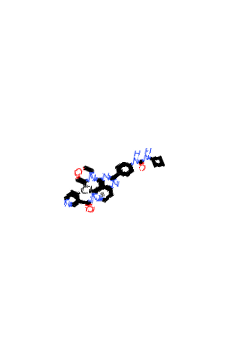 C[C@H]1COCCN1c1nc(-c2ccc(NC(=O)NC3CCC3)cc2)nc2c1CN(C(=O)c1cccnc1)CC2